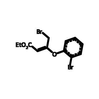 CCOC(=O)C=C(CBr)Oc1ccccc1Br